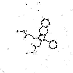 CCCNC(=O)Cc1c(COC(=O)NCCC)c2n(c1-c1ccccc1)Cc1ccccc1C2